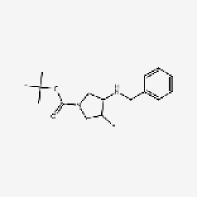 CC(C)(C)OC(=O)N1CC(F)C(NCc2ccccc2)C1